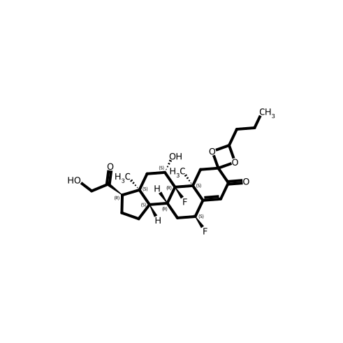 CCCC1OC2(C[C@@]3(C)C(=CC2=O)[C@@H](F)C[C@@H]2[C@@H]4CC[C@@H](C(=O)CO)[C@@]4(C)C[C@H](O)[C@@]23F)O1